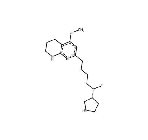 COc1cc(CCCCC(F)[C@@H]2CCNC2)nc2c1CCCN2